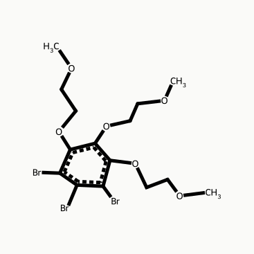 COCCOc1c(Br)c(Br)c(Br)c(OCCOC)c1OCCOC